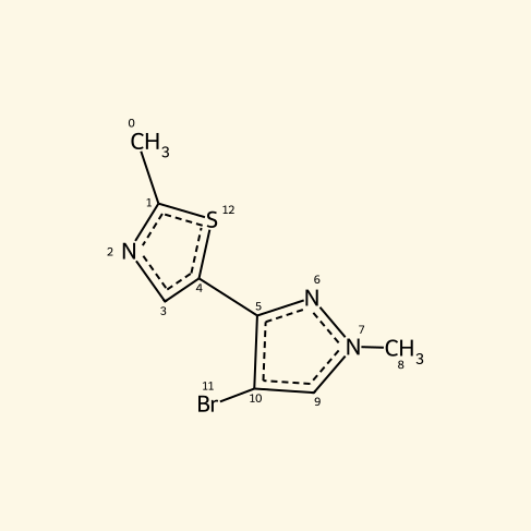 Cc1ncc(-c2nn(C)cc2Br)s1